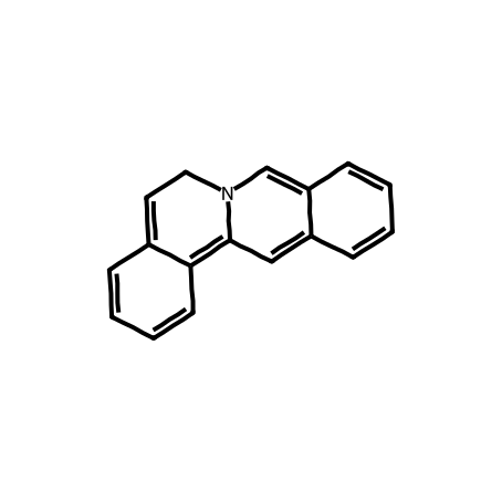 C1=c2ccccc2=CN2CC=c3ccccc3=C12